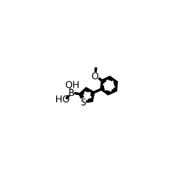 COc1ccccc1-c1csc(B(O)O)c1